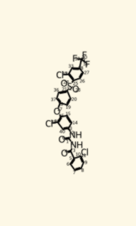 O=C(NC(=O)c1ccccc1Cl)Nc1ccc(Oc2ccc(S(=O)(=O)c3ccc(C(F)(F)F)cc3Cl)cc2)c(Cl)c1